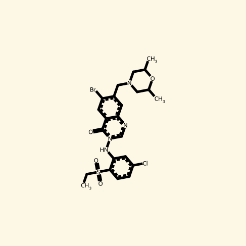 CCS(=O)(=O)c1ccc(Cl)cc1Nn1cnc2cc(CN3CC(C)OC(C)C3)c(Br)cc2c1=O